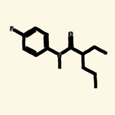 CCCC(CC)C(=O)N(C)c1ccc(F)cc1